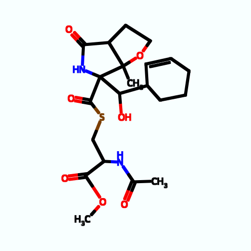 COC(=O)C(CSC(=O)C1(C(O)C2C=CCCC2)NC(=O)C2CCOC21C)NC(C)=O